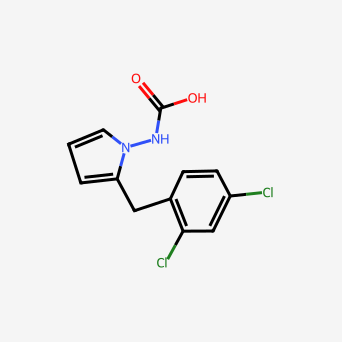 O=C(O)Nn1cccc1Cc1ccc(Cl)cc1Cl